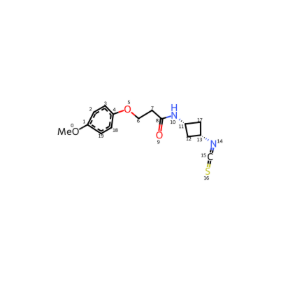 COc1ccc(OCCC(=O)N[C@H]2C[C@@H](N=C=S)C2)cc1